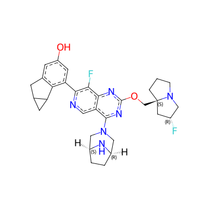 Oc1cc2c(c(-c3ncc4c(N5C[C@H]6CC[C@@H](C5)N6)nc(OC[C@@]56CCCN5C[C@H](F)C6)nc4c3F)c1)C1CC1C2